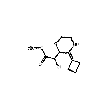 CC(C)(C)OC(=O)C(O)C1OCCNC1=C1CCC1